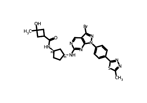 Cc1nnc(-c2ccc(-n3nc(Br)c4cnc(N[C@@H]5CC[C@@H](NC(=O)C6CC(C)(O)C6)C5)nc43)cc2)s1